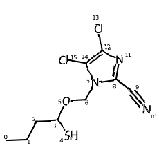 CCCC(S)OCn1c(C#N)nc(Cl)c1Cl